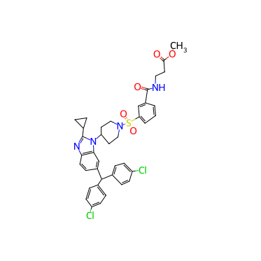 COC(=O)CCNC(=O)c1cccc(S(=O)(=O)N2CCC(n3c(C4CC4)nc4ccc(C(c5ccc(Cl)cc5)c5ccc(Cl)cc5)cc43)CC2)c1